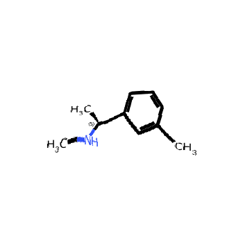 CN[C@@H](C)c1cccc(C)c1